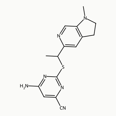 CC(Sc1nc(N)cc(C#N)n1)c1cc2c(cn1)N(C)CC2